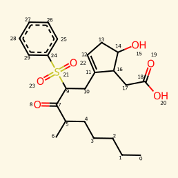 CCCCCC(C)C(=O)C(CC1=CCC(O)C1CC(=O)O)S(=O)(=O)c1ccccc1